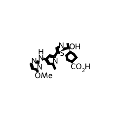 COc1ccnc(Nc2cc(C)nc(-c3cnc(C(C)(O)[C@H]4CC[C@H](C(=O)O)CC4)s3)c2)n1